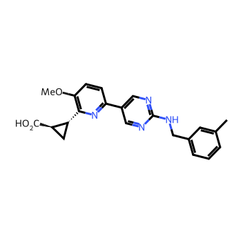 COc1ccc(-c2cnc(NCc3cccc(C)c3)nc2)nc1[C@@H]1C[C@H]1C(=O)O